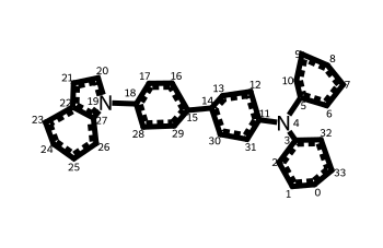 c1ccc(N(c2ccccc2)c2ccc(-c3ccc(-n4ccc5ccccc54)cc3)cc2)cc1